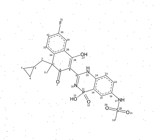 CC1(CC2CC2)C(=O)C(C2=NP(=O)(O)c3cc(NS(C)(=O)=O)ccc3N2)=C(O)c2cc(F)ccc21